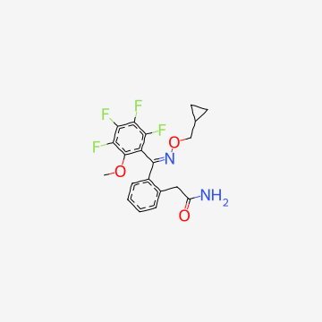 COc1c(F)c(F)c(F)c(F)c1C(=NOCC1CC1)c1ccccc1CC(N)=O